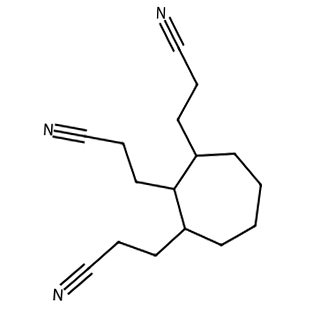 N#CCCC1CCCCC(CCC#N)C1CCC#N